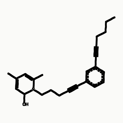 CCCCC#Cc1cccc(C#CCCCN2C(C)=CC(C)=CC2O)c1